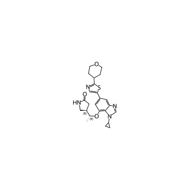 C[C@@H](Oc1cc(-c2cnc(C3CCOCC3)s2)cc2ncn(C3CC3)c12)[C@H]1CNC(=O)C1